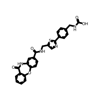 O=C(O)NCc1ccc(-c2ncc(CNC(=O)c3ccc4c(c3)NC(=O)c3ccccc3O4)s2)cc1